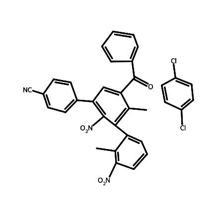 Cc1c(-c2c(C)c(C(=O)c3ccccc3)cc(-c3ccc(C#N)cc3)c2[N+](=O)[O-])cccc1[N+](=O)[O-].Clc1ccc(Cl)cc1